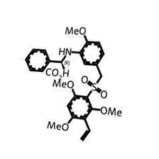 C=Cc1c(OC)cc(OC)c(S(=O)(=O)Cc2ccc(OC)c(N[C@@H](C(=O)O)c3ccccc3)c2)c1OC